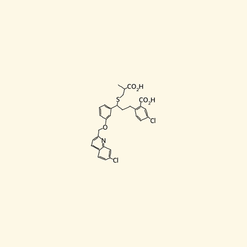 CC(CSC(CCc1ccc(Cl)cc1C(=O)O)c1cccc(OCc2ccc3ccc(Cl)cc3n2)c1)C(=O)O